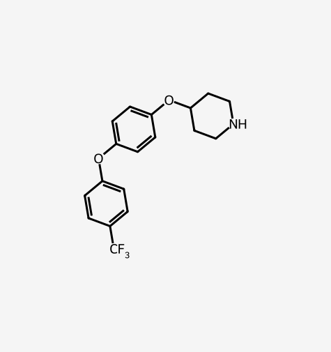 FC(F)(F)c1ccc(Oc2ccc(OC3CCNCC3)cc2)cc1